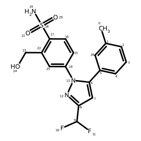 Cc1cccc(-c2cc(C(F)F)nn2-c2ccc(S(N)(=O)=O)c(CO)c2)c1